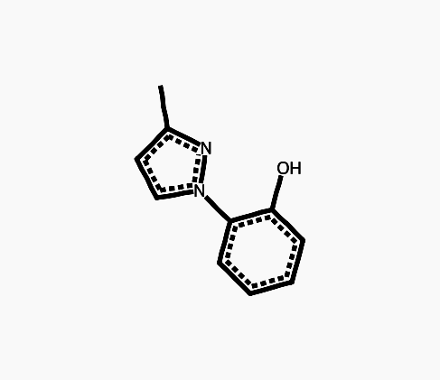 Cc1ccn(-c2ccccc2O)n1